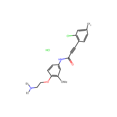 CCN(CC)CCOc1ccc(NC(=O)C#Cc2ccc(C(F)(F)F)cc2Cl)cc1OC.Cl